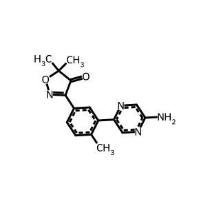 Cc1ccc(C2=NOC(C)(C)C2=O)cc1-c1cnc(N)cn1